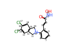 O=C(/C=C/c1ccccc1N1Cc2cc(Cl)c(Cl)cc2C1)NO